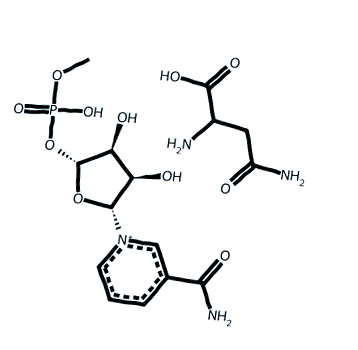 COP(=O)(O)O[C@H]1O[C@@H]([n+]2cccc(C(N)=O)c2)[C@H](O)[C@@H]1O.NC(=O)CC(N)C(=O)O